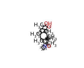 CC1=C(O)C(=O)C=C2C1=CC=C1[C@@H](C)CC[C@@]3(C)CC[C@@](C)(C(=O)N4CCCC4)C[C@H]3C(C)(C)CC[C@@]21C